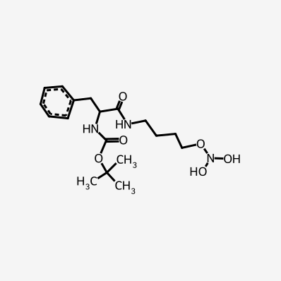 CC(C)(C)OC(=O)NC(Cc1ccccc1)C(=O)NCCCCON(O)O